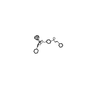 O=C(C=Cc1ccccc1)c1ccc(CCC(=O)[C]23[CH]4[CH]5[CH]6[CH]2[Fe]56432789[CH]3[CH]2[CH]7[C]8(C(=O)C#Cc2ccccc2)[CH]39)cc1